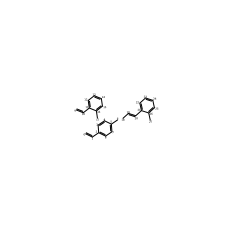 C=Cc1ccc(C)cc1.C=Cc1ccccc1C.CC=Cc1ccccc1C